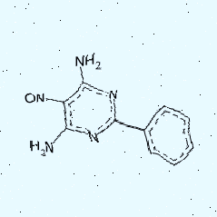 Nc1nc(-c2ccccc2)nc(N)c1N=O